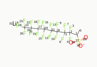 CC(C(F)(F)C(F)(F)C(F)(F)C(F)(F)C(F)(F)C(F)(F)C(F)(F)C(F)(F)F)S(=O)(=O)[O-].[Li+]